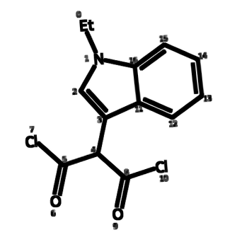 CCn1cc(C(C(=O)Cl)C(=O)Cl)c2ccccc21